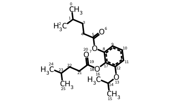 CC(C)CCC(=O)Oc1cccc(OC(C)C)c1OC(=O)CCC(C)C